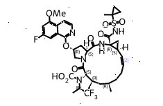 COc1cc(F)cc2c(O[C@@H]3C[C@H]4C(=O)N[C@]5(C(=O)NS(=O)(=O)C6(C)CC6)C[C@H]5/C=C\CC[C@@H](C)C[C@@H](C)[C@H](N(C(=O)O)[C@H](C)C(F)(F)F)C(=O)N4C3)nccc12